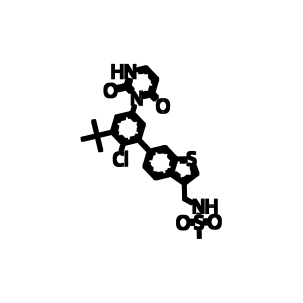 CC(C)(C)c1cc(-n2c(=O)cc[nH]c2=O)cc(-c2ccc3c(CNS(C)(=O)=O)csc3c2)c1Cl